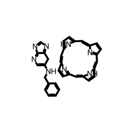 C1=Cc2cc3ccc(cc4nc(cc5ccc(cc1n2)[nH]5)C=C4)[nH]3.C1=NC2=NC=C(NCc3ccccc3)CC2=N1